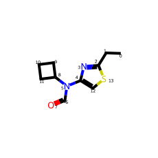 CCc1nc(N([C]=O)C2CCC2)cs1